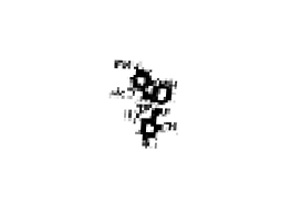 COc1cc(OC)c(C(=O)C2([P](=O)C(=O)c3c(C)cc(C(C)(C)C)cc3C)CCCCC2)c(OC)c1